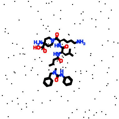 CCCC(=O)N[C@H](CC(C)C)C(=O)N[C@H](CCCCN)C(=O)N1CCC(N)(C(=O)O)CC1.CN(Cc1ccccc1)C(=O)Nc1ccccc1